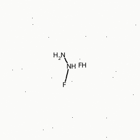 F.NNF